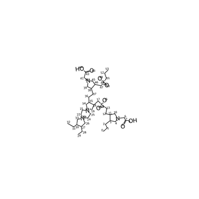 CCCC1CN(CC(=O)O)CC1CCS(=O)(=O)CC1C[N+]2(CC[N+]3(CC2)CC(CC)C(CC)C3)CC1CCC1CN(CC(=O)O)CC1CS(=O)(=O)CCC